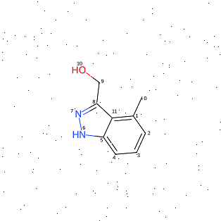 [CH2]c1cccc2[nH]nc(CO)c12